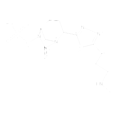 CNCCCc1nnc(C2CCC3CN2C(=O)N3OS(=O)(=O)O)o1